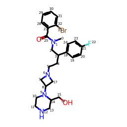 CN(CC(CCN1CC(N2CCNCC2CO)C1)c1ccc(F)cc1)C(=O)c1ccccc1Br